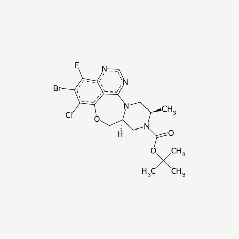 C[C@@H]1CN2c3ncnc4c(F)c(Br)c(Cl)c(c34)OC[C@@H]2CN1C(=O)OC(C)(C)C